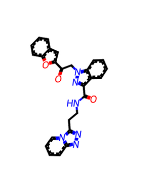 O=C(Cn1nc(C(=O)NCCc2nnc3ccccn23)c2ccccc21)c1cc2ccccc2o1